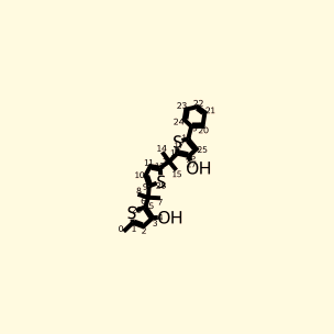 Cc1cc(O)c(C(C)(C)c2ccc(C(C)(C)c3sc(-c4ccccc4)cc3O)s2)s1